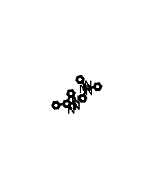 c1ccc(-c2cc3c4c(ncnc4c2)N(c2cccc(-c4nc(-c5ccccc5)nc(-c5ccccc5)n4)c2)c2ccccc2-3)cc1